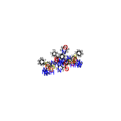 O=C(c1cnccc1N(C(=O)Nc1nc(CSc2ccccc2)c(S(=O)(=O)c2nnn[nH]2)s1)N(C(=O)Nc1nc(CSc2ccccc2)c(S(=O)(=O)c2nnn[nH]2)s1)c1ccc(N2CCOCC2)cc1C(=O)C1CCCC1)C1CCCC1